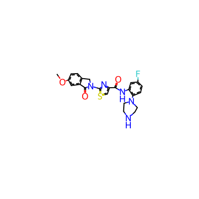 COc1ccc2c(c1)C(=O)N(c1nc(C(=O)Nc3cc(F)ccc3N3CCNCC3)cs1)C2